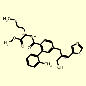 COC(=O)[C@H](CCSC)NC(=O)c1ccc(C/C(=C\c2cncs2)CO)cc1-c1ccccc1C